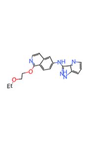 CCOCCOc1nccc2cc(Nc3n[nH]c4cccnc34)ccc12